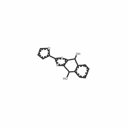 OC1c2ccccc2C(O)c2sc(-c3ccco3)nc21